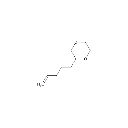 C=CCCCC1COCCO1